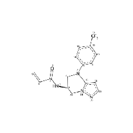 C=CC(=O)N[C@H]1CN(c2ccc(C(F)(F)F)cc2)c2ccnn2C1